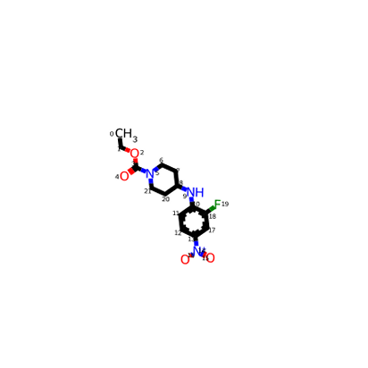 CCOC(=O)N1CCC(Nc2ccc([N+](=O)[O-])cc2F)CC1